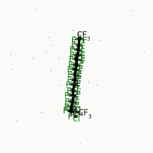 FC(F)(F)C(F)(F)C(F)(F)C(F)(F)C(F)(F)C(F)(F)C(F)(F)C(F)(F)C(F)(F)C(F)(F)C(F)(F)C(F)(F)C(F)(F)C(F)(F)C(F)(F)C(F)(F)[Si](Cl)(Cl)C(F)(F)F